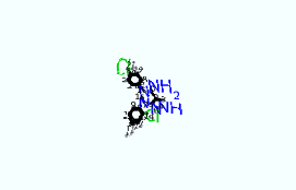 NC1c2c[nH]nc2N(c2ccccc2Cl)CN1c1ccc(Cl)cc1